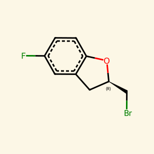 Fc1ccc2c(c1)C[C@H](CBr)O2